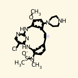 COc1cc(N2CCNCC2)c2cc1Nc1ncc(Cl)c(n1)Nc1cc(ccc1N(C)[S+](C)[O-])/C=C\2